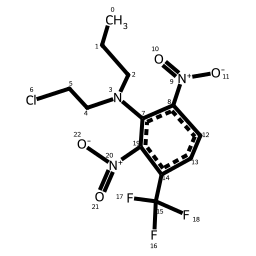 CCCN(CCCl)c1c([N+](=O)[O-])ccc(C(F)(F)F)c1[N+](=O)[O-]